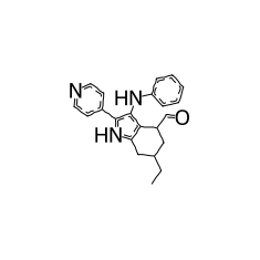 CCC1Cc2[nH]c(-c3ccncc3)c(Nc3ccccc3)c2C(C=O)C1